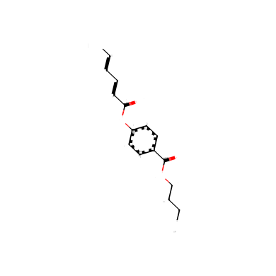 CC=CC=CC(=O)Oc1ccc(C(=O)OCCCC)cc1